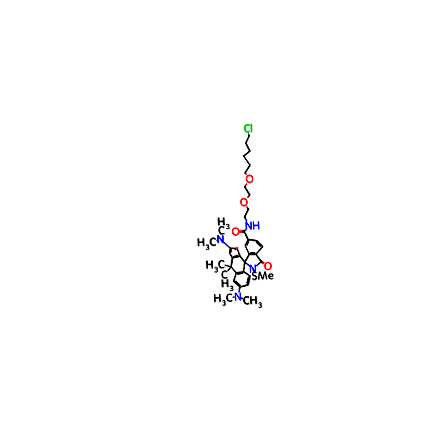 CSN1C(=O)c2ccc(C(=O)NCCOCCOCCCCCCCl)cc2C12c1ccc(N(C)C)cc1C(C)(C)c1cc(N(C)C)ccc12